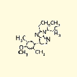 CCc1nc2c(-c3cc(C)c(OC)cc3C)ccnc2n1C(CC)CC